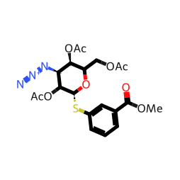 COC(=O)c1cccc(S[C@H]2OC(COC(C)=O)[C@H](OC(C)=O)[C@H](N=[N+]=[N-])C2OC(C)=O)c1